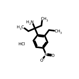 CCc1cc([N+](=O)[O-])ccc1C(N)(CC)CC.Cl